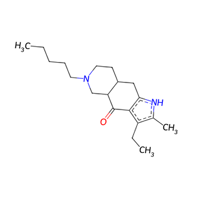 CCCCCN1CCC2Cc3[nH]c(C)c(CC)c3C(=O)C2C1